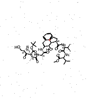 COC(=O)C(NC(=O)[C@H](NC(=O)[C@@H]1CCCC1C(O)C(Cc1ccccc1)NC(=O)[C@H](C)NC(=O)[C@H](C)N(C(=O)OC(C)(C)C)C(=O)[C@@H](N)CO)C(C)C)C(C)C